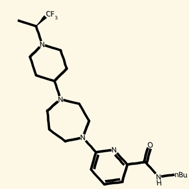 CCCCNC(=O)c1cccc(N2CCCN(C3CCN([C@@H](C)C(F)(F)F)CC3)CC2)n1